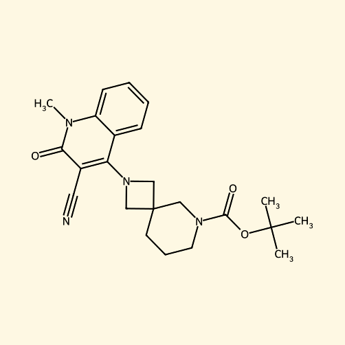 Cn1c(=O)c(C#N)c(N2CC3(CCCN(C(=O)OC(C)(C)C)C3)C2)c2ccccc21